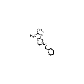 CC(C)OC(=O)CN(C=S)SCc1ccccc1